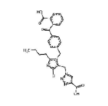 CCCCc1nc(Cl)c(Cn2cc(C(=O)O)nn2)n1Cc1ccc(C(=O)c2ccccc2C(=O)O)cc1